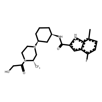 Cc1ccc(F)c2cc(C(=O)N[C@@H]3CCC[C@H](N4CCN(C(=O)CO)[C@@H](C(F)(F)F)C4)C3)[nH]c12